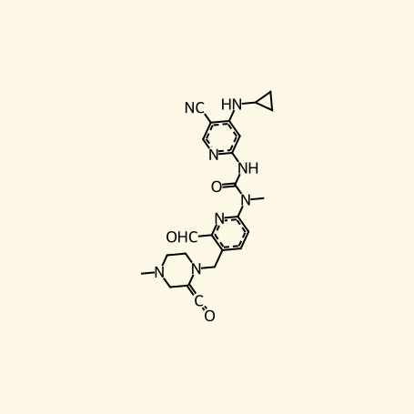 CN1CCN(Cc2ccc(N(C)C(=O)Nc3cc(NC4CC4)c(C#N)cn3)nc2C=O)C(=C=O)C1